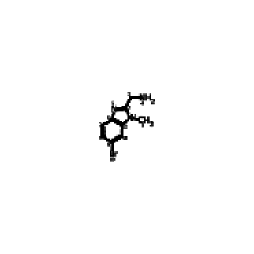 Cn1c(CN)nc2ccc(Br)cc21